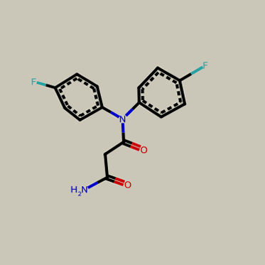 NC(=O)CC(=O)N(c1ccc(F)cc1)c1ccc(F)cc1